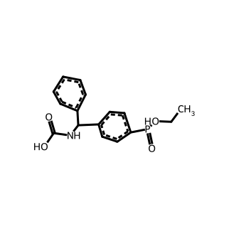 CCO[PH](=O)c1ccc(C(NC(=O)O)c2ccccc2)cc1